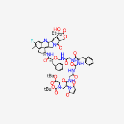 CC[C@@]1(O)C(=O)OCc2c1cc1n(c2=O)Cc2c-1nc1cc(F)c(C)c3c1c2[C@@H](NC(=O)[C@@H](Cc1ccccc1)OCNC(=O)CNC(=O)[C@H](Cc1ccccc1)NC(=O)CNC(=O)CNC(=O)[C@H](CN(CC(=O)OC(C)(C)C)C(=O)OC(C)(C)C)N1C(=O)C=CC1=O)CC3